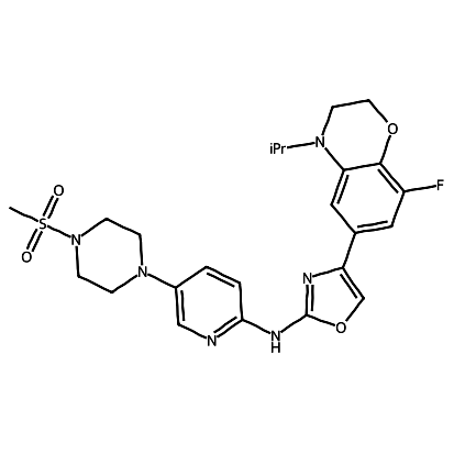 CC(C)N1CCOc2c(F)cc(-c3coc(Nc4ccc(N5CCN(S(C)(=O)=O)CC5)cn4)n3)cc21